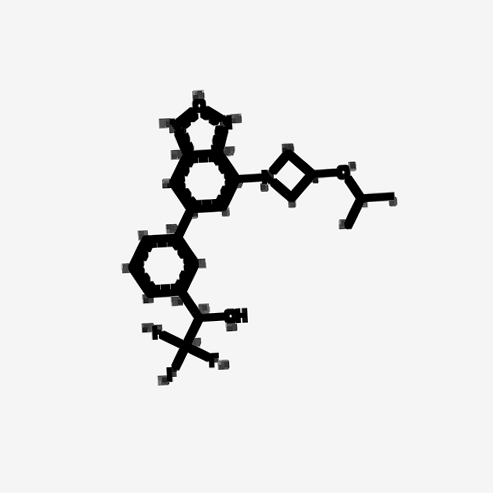 CC(C)OC1CN(c2cc(-c3cccc(C(O)C(F)(F)F)c3)cc3nonc23)C1